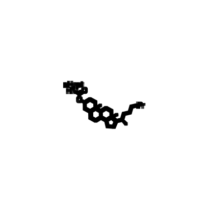 CCCCCCCNC(=O)O[C@H]1CC[C@@]2(C)C(=CCC3C4CCC([C@H](C)CCCC(C)C)[C@@]4(C)CCC32)C1